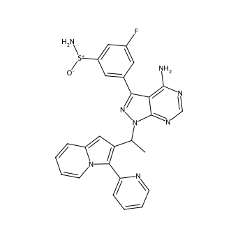 CC(c1cc2ccccn2c1-c1ccccn1)n1nc(-c2cc(F)cc([S+](N)[O-])c2)c2c(N)ncnc21